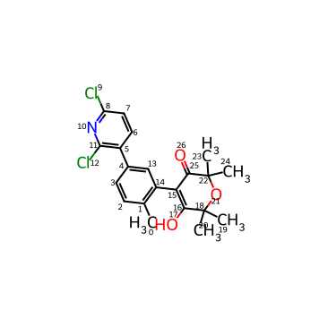 Cc1ccc(-c2ccc(Cl)nc2Cl)cc1C1=C(O)C(C)(C)OC(C)(C)C1=O